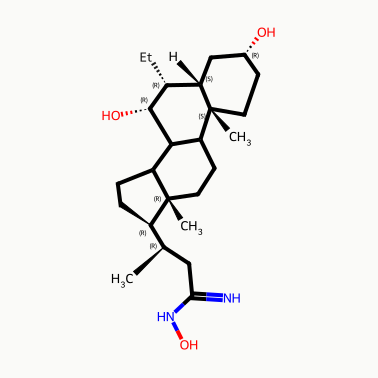 CC[C@H]1[C@@H](O)C2C3CC[C@H]([C@H](C)CC(=N)NO)[C@@]3(C)CCC2[C@@]2(C)CC[C@@H](O)C[C@@H]12